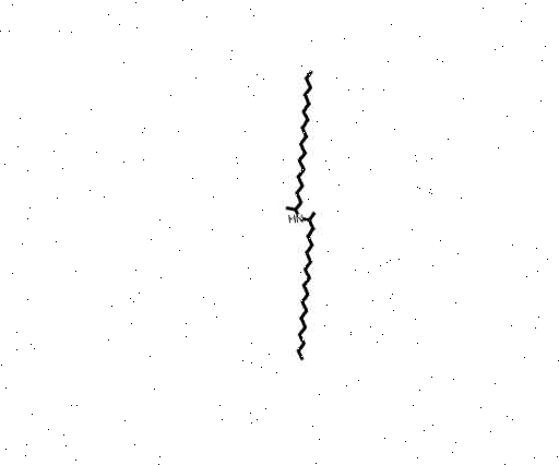 CCCCCCCCCCCCCCCCCC(C)NC(C)CCCCCCCCCCCCCCCCC